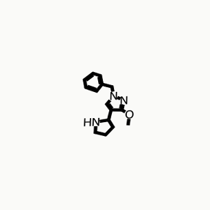 COc1nn(Cc2ccccc2)cc1C1CCCN1